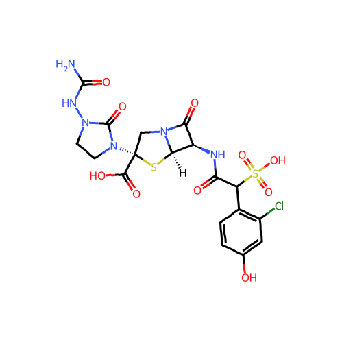 NC(=O)NN1CCN([C@]2(C(=O)O)CN3C(=O)[C@@H](NC(=O)C(c4ccc(O)cc4Cl)S(=O)(=O)O)[C@H]3S2)C1=O